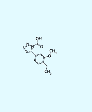 CCc1ccc(-c2cnnn2C(=O)O)cc1OC